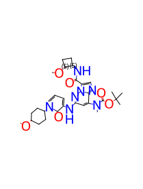 CO[C@H]1CC[C@@H]1NC(=O)c1cnc2c(N(C)C(=O)OC(C)(C)C)cc(Nc3cccn([C@H]4CC[C@H](OC)CC4)c3=O)nn12